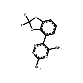 Nc1nnc(-c2cccc3c2OC(F)(F)O3)c(N)n1